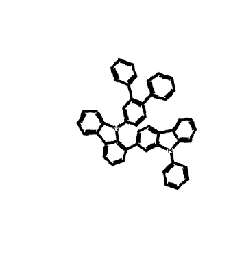 c1ccc(-c2ccc(-n3c4ccccc4c4cccc(-c5ccc6c7ccccc7n(-c7ccccc7)c6c5)c43)cc2-c2ccccc2)cc1